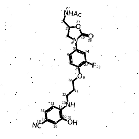 CC(=O)NCC1CN(c2ccc(OCCCNc3ccc(C#N)cc3O)c(F)c2)C(=O)O1